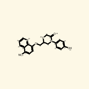 N#Cc1ccc(OCC2CN(c3ccc(O)cc3)C(=O)CO2)c2ncccc12